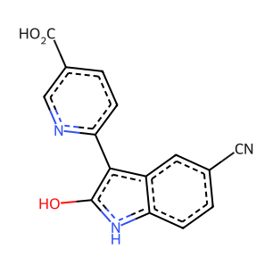 N#Cc1ccc2[nH]c(O)c(-c3ccc(C(=O)O)cn3)c2c1